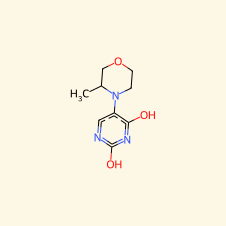 CC1COCCN1c1cnc(O)nc1O